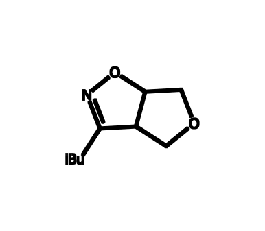 CCC(C)C1=NOC2COCC12